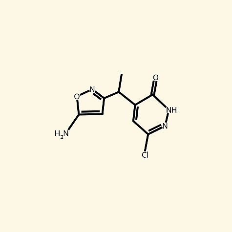 CC(c1cc(N)on1)c1cc(Cl)n[nH]c1=O